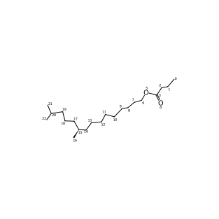 CCCC(=O)OCCCCCCCCC[C@@H](C)CCCC(C)C